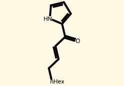 CCCCCCCC=CC(=O)c1ccc[nH]1